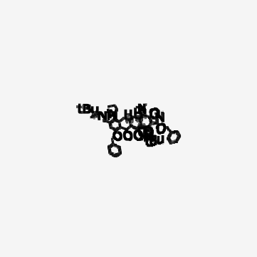 C[C@@H](NCc1cc(OCc2ccccc2)c2c(c1N1CCCC1)C[C@H]1C[C@H]3[C@H](N(C)C)c4onc(OCc5ccccc5)c4C(=O)[C@@]3(O[Si](C)(C)C(C)(C)C)C(O)=C1C2=O)C(C)(C)C